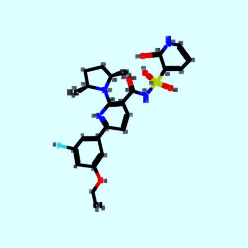 CCOc1cc(F)cc(-c2ccc(C(=O)NS(=O)(=O)c3ccc[nH]c3=O)c(N3[C@H](C)CC[C@@H]3C)n2)c1